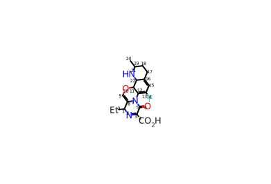 CCC1N=C(C(=O)O)C(=O)N2C1=COC1C2=C(F)C=C2CCC(C)NC21